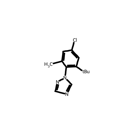 Cc1cc(Cl)cc(C(C)(C)C)c1-n1cncn1